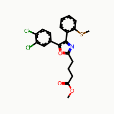 COC(=O)CCCc1nc(-c2ccccc2SC)c(-c2ccc(Cl)c(Cl)c2)o1